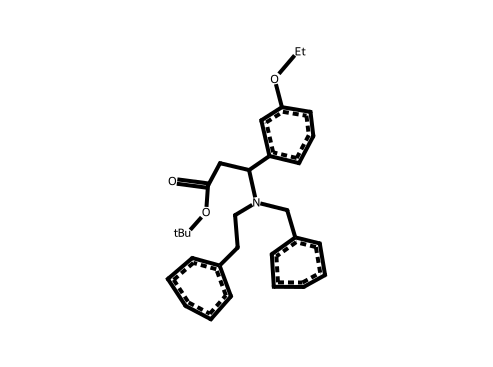 CCOc1cccc(C(CC(=O)OC(C)(C)C)N(CCc2ccccc2)Cc2ccccc2)c1